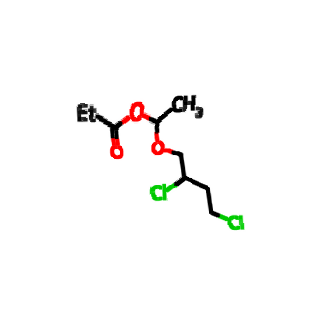 CCC(=O)OC(C)OCC(Cl)CCCl